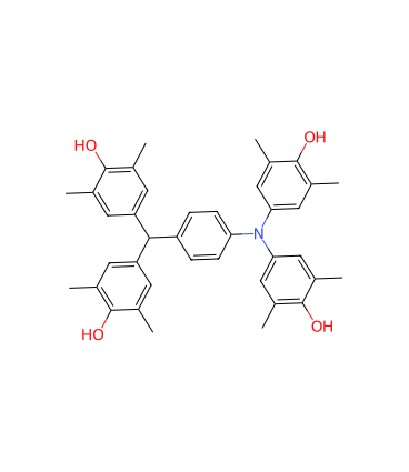 Cc1cc(C(c2ccc(N(c3cc(C)c(O)c(C)c3)c3cc(C)c(O)c(C)c3)cc2)c2cc(C)c(O)c(C)c2)cc(C)c1O